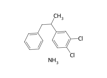 CC(Cc1ccccc1)c1ccc(Cl)c(Cl)c1.N